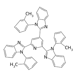 Cc1ccccc1-n1c(-c2cc(-c3nc4ccccc4n3-c3ccccc3C)nc(-c3nc4ccccc4n3-c3ccccc3C)c2)nc2ccccc21